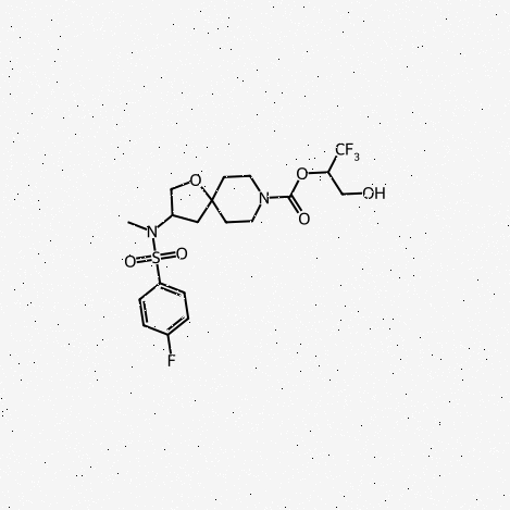 CN(C1COC2(CCN(C(=O)OC(CO)C(F)(F)F)CC2)C1)S(=O)(=O)c1ccc(F)cc1